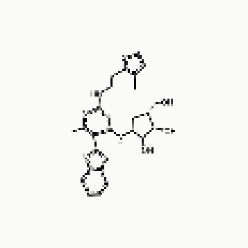 Cc1ccsc1CCNc1nc(C)c(-c2nc3ccccc3s2)c(NC2C[C@H](CO)[C@@H](O)[C@H]2O)n1